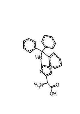 N[C@H](C(=O)O)c1csc(NC(c2ccccc2)(c2ccccc2)c2ccccc2)n1